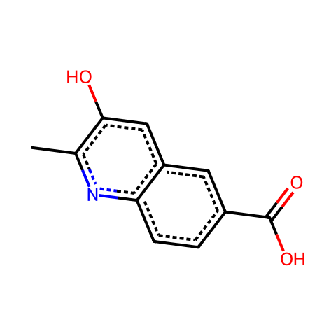 Cc1nc2ccc(C(=O)O)cc2cc1O